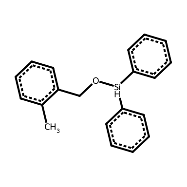 Cc1ccccc1CO[SiH](c1ccccc1)c1ccccc1